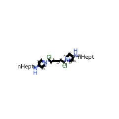 CCCCCCCNc1cc[n+](C(Cl)CCCCC(Cl)[n+]2ccc(NCCCCCCC)cc2)cc1